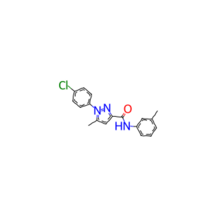 Cc1cccc(NC(=O)c2cc(C)n(-c3ccc(Cl)cc3)n2)c1